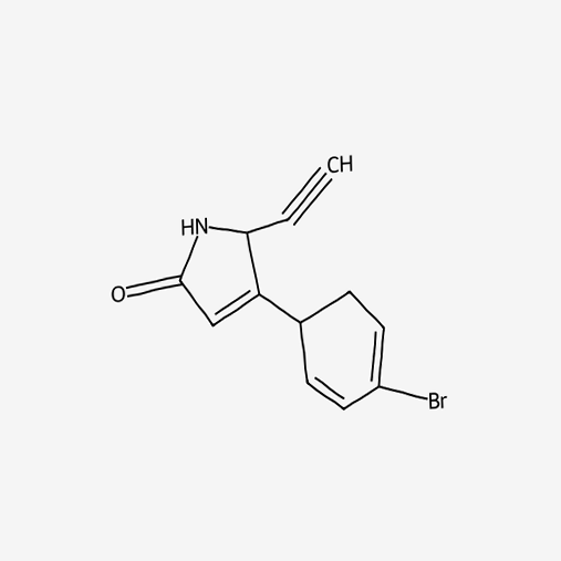 C#CC1NC(=O)C=C1C1C=CC(Br)=CC1